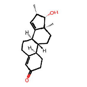 C[C@H]1C=C2[C@@H]3CCC4=CC(=O)CC[C@@H]4[C@H]3CC[C@]2(C)[C@H]1O